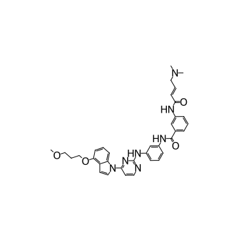 COCCCOc1cccc2c1ccn2-c1ccnc(Nc2cccc(NC(=O)c3cccc(NC(=O)C=CCN(C)C)c3)c2)n1